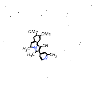 COC1=CC2=C3C(C#N)=C(c4ccnc(C)c4)C(C)N3C(C)C=C2CC1OC